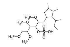 CCC(C)C1C(CC(OP)C(OS(=O)(=O)O)C(OP)C(COP)OP)CC(C)C1C